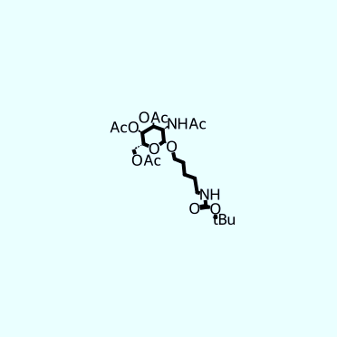 CC(=O)N[C@@H]1[C@H](OCCCCCNC(=O)OC(C)(C)C)O[C@H](COC(C)=O)[C@H](OC(C)=O)[C@@H]1OC(C)=O